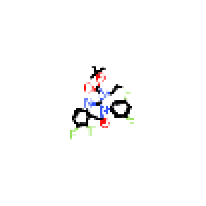 CCCN(C(=O)OC(C)(C)C)c1nc2ccc(F)c(F)c2c(=O)n1-c1cc(F)cc(F)c1